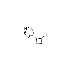 ClC1CCC1c1ccncn1